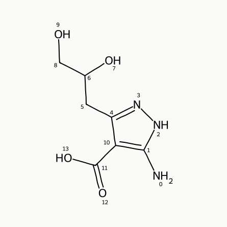 Nc1[nH]nc(CC(O)CO)c1C(=O)O